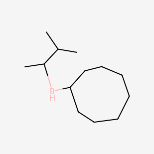 CC(C)C(C)BC1CCCCCCC1